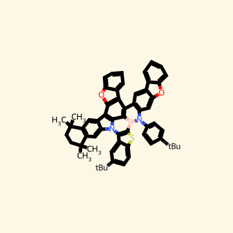 CC(C)(C)c1ccc(N2B3c4sc5ccc(C(C)(C)C)cc5c4-n4c5cc6c(cc5c5c7oc8ccccc8c7c(c3c54)-c3cc4c(cc32)oc2ccccc24)C(C)(C)CCC6(C)C)cc1